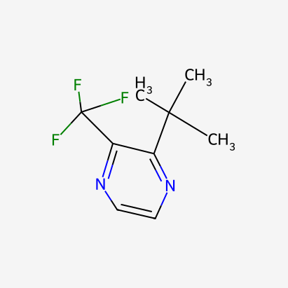 CC(C)(C)c1nccnc1C(F)(F)F